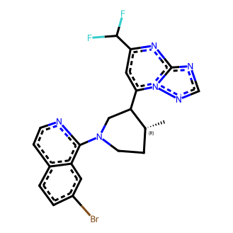 C[C@@H]1CCN(c2nccc3ccc(Br)cc23)CC1c1cc(C(F)F)nc2ncnn12